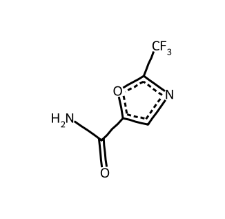 NC(=O)c1cnc(C(F)(F)F)o1